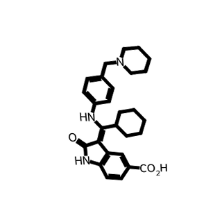 O=C1Nc2ccc(C(=O)O)cc2C1=C(Nc1ccc(CN2CCCCC2)cc1)C1CCCCC1